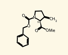 C=C1CCN(C(=O)OCc2ccccc2)[C@@H]1C(=O)OC